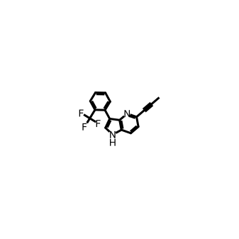 CC#Cc1ccc2[nH]cc(-c3ccccc3C(F)(F)F)c2n1